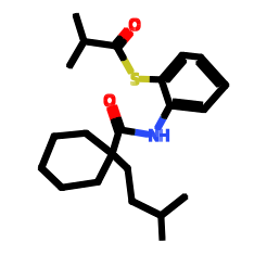 CC(C)CCC1(C(=O)Nc2ccccc2SC(=O)C(C)C)CCCCC1